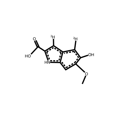 [2H]c1c(C(=O)O)[nH]c2cc(OC)c(O)c([2H])c12